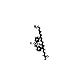 CCCCCCCCCCCCCCCCCC(=O)[O-].C[P+](C)(Cc1ccccc1)c1ccccc1